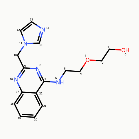 OCCOCCNc1nc(Cn2ccnc2)nc2ccccc12